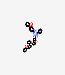 c1ccc(-c2nc(-c3ccc4c(c3)oc3ccccc34)nc(-c3ccc4c(c3)oc3cccc(-c5ccccc5-c5cccc6c5oc5ccccc56)c34)n2)cc1